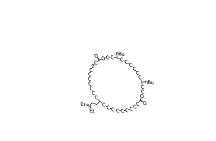 CCCCC1CCCCCCC(CCCC)CCOC(=O)CCCCCCCCCC(CCN(CC)CC)CCCCCCCCCC(=O)OCC1